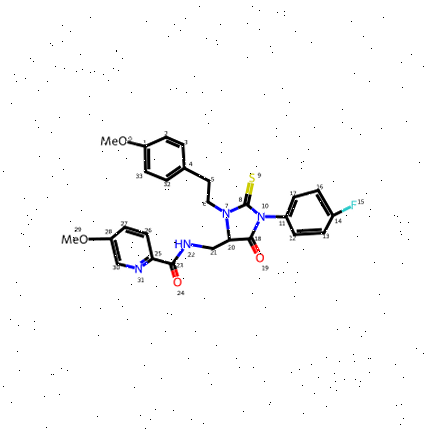 COc1ccc(CCN2C(=S)N(c3ccc(F)cc3)C(=O)C2CNC(=O)c2ccc(OC)cn2)cc1